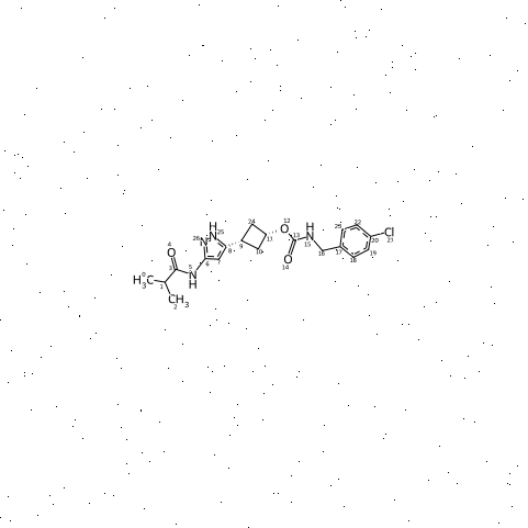 CC(C)C(=O)Nc1cc([C@H]2C[C@@H](OC(=O)NCc3ccc(Cl)cc3)C2)[nH]n1